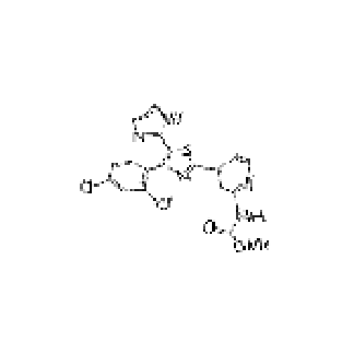 COC(=O)Nc1cc(-c2nc(-c3ccc(Cl)cc3Cl)c(-c3ncc[nH]3)s2)ccn1